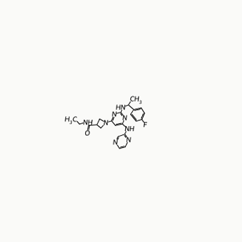 CCNC(=O)C1CN(c2cc(Nc3cnccn3)nc(NC(C)c3ccc(F)cc3)n2)C1